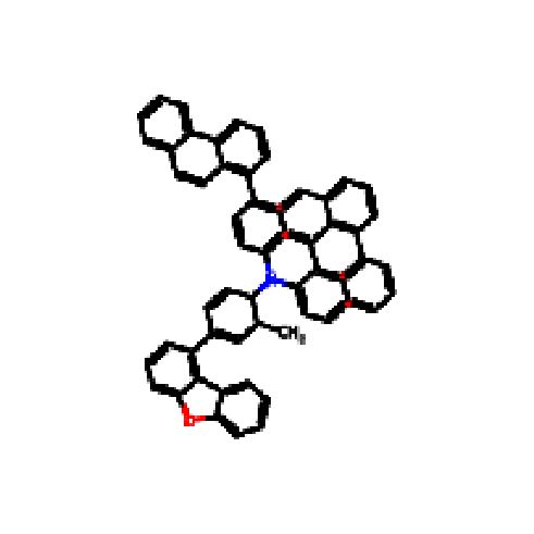 CC1C=C(c2cccc3oc4ccccc4c23)C=CC1N(c1ccc(-c2cccc3c2ccc2ccccc23)cc1)c1ccccc1-c1cccc2cccc(-c3ccccc3)c12